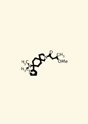 COC(C)CC(=O)N1CCC2(CCC(c3cccs3)(N(C)C)CC2)C1